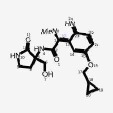 CN/C(C(=O)NC1(CO)CCNC1=O)=C1/C=C(OCC2CC2)C=CC1=N